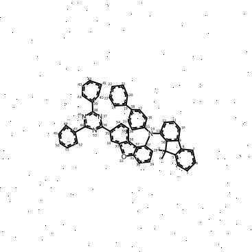 CC1(C)c2ccccc2-c2cccc(N(c3ccc(-c4ccccc4)cc3)c3cccc4oc5cc(-c6nc(-c7ccccc7)nc(-c7ccccc7)n6)ccc5c34)c21